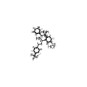 CNC(=O)C(N[C@H](CCc1ccc(C(F)(F)F)cc1)c1cccc(C)c1)c1ccccc1.Cl